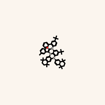 Cc1ccc2oc3c(c2c1)B1c2cc4c(cc2N(C2=CC5C(C=C2)C(C)(C)CCC5(C)C)c2cc(C(C)(C)C)cc(c21)N3c1ccc(C(C)(C)C)cc1-c1ccccc1)C(C)(C)CCC4(C)C